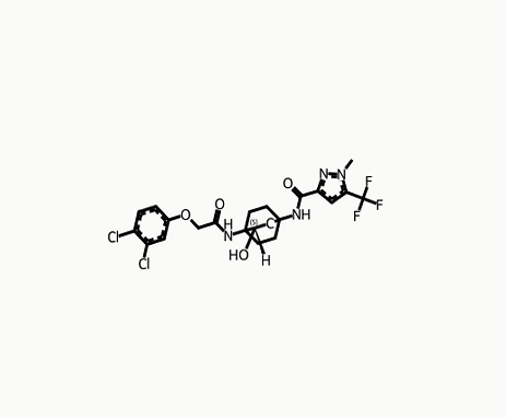 Cn1nc(C(=O)NC23CCC(NC(=O)COc4ccc(Cl)c(Cl)c4)(CC2)[C@@H](O)C3)cc1C(F)(F)F